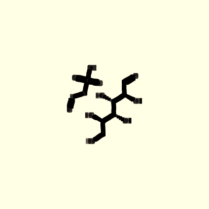 O=C[C@@H](O)[C@@H](O)[C@H](O)[C@H](O)CO.O=POS(=O)(=O)O